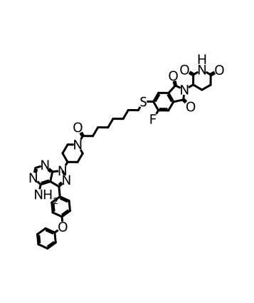 Nc1ncnc2c1c(-c1ccc(Oc3ccccc3)cc1)nn2C1CCN(C(=O)CCCCCCCSc2cc3c(cc2F)C(=O)N(C2CCC(=O)NC2=O)C3=O)CC1